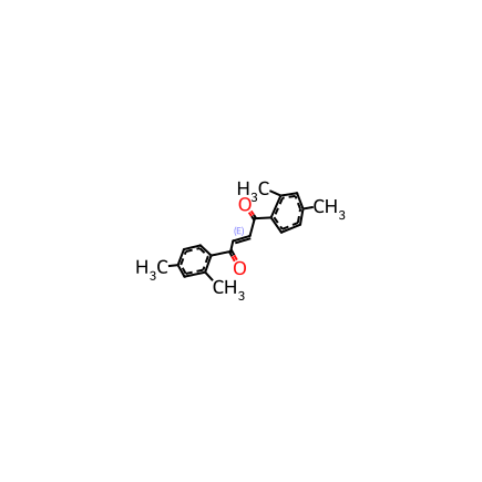 Cc1ccc(C(=O)/C=C/C(=O)c2ccc(C)cc2C)c(C)c1